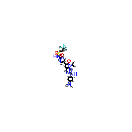 CC(C)n1c(=O)c(-c2cnc(NS(=O)(=O)CCC(F)(F)F)nc2)cc2cnc(NC3CCC(N(C)C)CC3)nc21